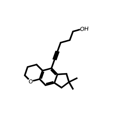 CC1(C)Cc2cc3c(c(C#CCCCO)c2C1)CCCO3